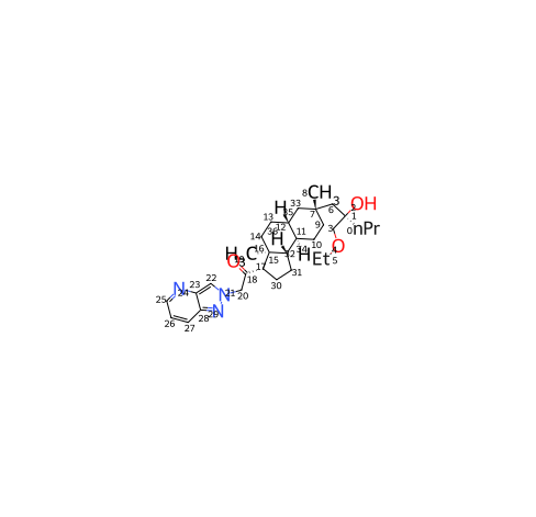 CCC[C@](O)(COCC)C[C@]1(C)CC[C@@H]2[C@H](CC[C@]3(C)[C@@H](C(=O)Cn4cc5ncccc5n4)CC[C@@H]23)C1